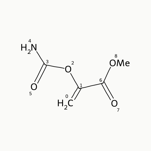 C=C(OC(N)=O)C(=O)OC